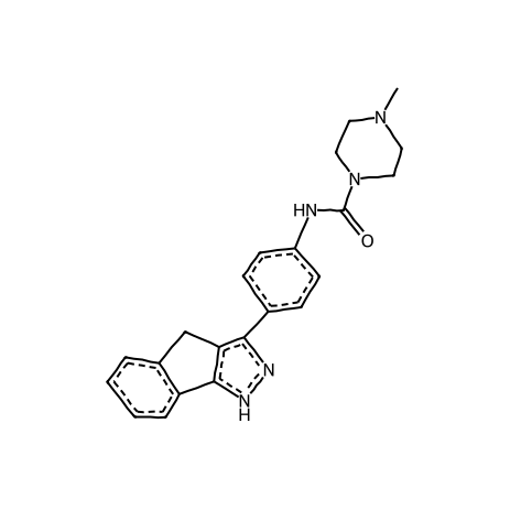 CN1CCN(C(=O)Nc2ccc(-c3n[nH]c4c3Cc3ccccc3-4)cc2)CC1